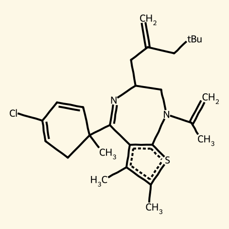 C=C(CC1CN(C(=C)C)c2sc(C)c(C)c2C(C2(C)C=CC(Cl)=CC2)=N1)CC(C)(C)C